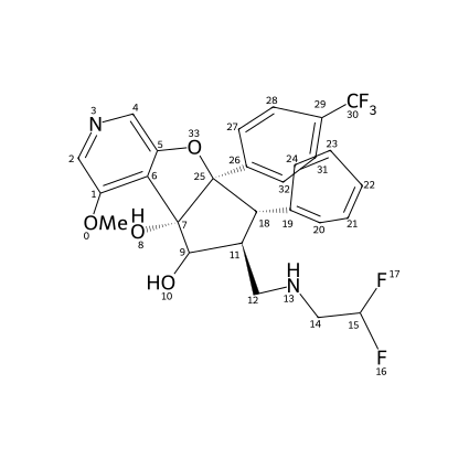 COc1cncc2c1[C@]1(O)C(O)[C@H](CNCC(F)F)[C@@H](c3ccccc3)[C@]1(c1ccc(C(F)(F)F)cc1)O2